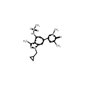 Cc1cc(-c2cc(NS(C)(=O)=O)c3c(C)nn(CC4CC4)c3c2)cn(C)c1=O